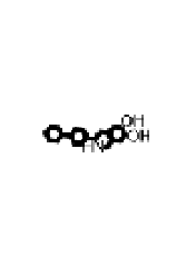 Oc1cc2c(cc1O)CC(c1ccc(-c3ccccc3)cc1)NC2